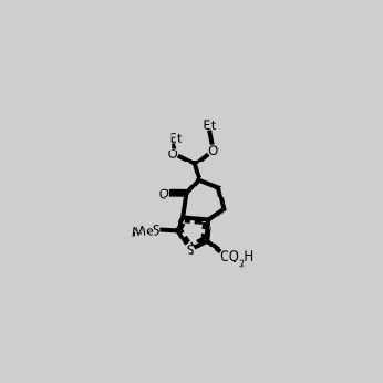 CCOC(OCC)C1CCc2c(C(=O)O)sc(SC)c2C1=O